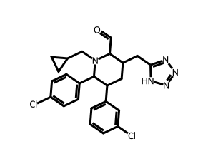 O=CC1C(Cc2nnn[nH]2)CC(c2cccc(Cl)c2)C(c2ccc(Cl)cc2)N1CC1CC1